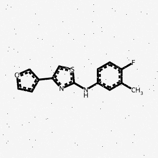 Cc1cc(Nc2nc(-c3ccoc3)cs2)ccc1F